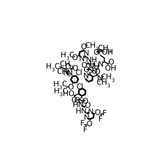 CC(C)Oc1cc(-n2nc(C(C)(C)C)oc2=O)c(Cl)cc1Cl.COc1cc(OC)nc(NC(=O)NS(=O)(=O)c2ncccc2C(=O)N(C)C)n1.CP(=O)(O)CCC(N)C(=O)O.O=C(Nc1nc(OC(F)F)cc(OC(F)F)n1)NS(=O)(=O)c1ccccc1C(=O)O